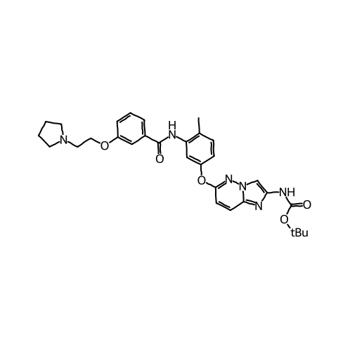 Cc1ccc(Oc2ccc3nc(NC(=O)OC(C)(C)C)cn3n2)cc1NC(=O)c1cccc(OCCN2CCCC2)c1